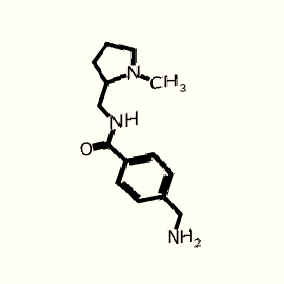 CN1CCCC1CNC(=O)c1ccc(CN)cc1